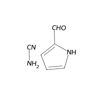 N#CN.O=Cc1ccc[nH]1